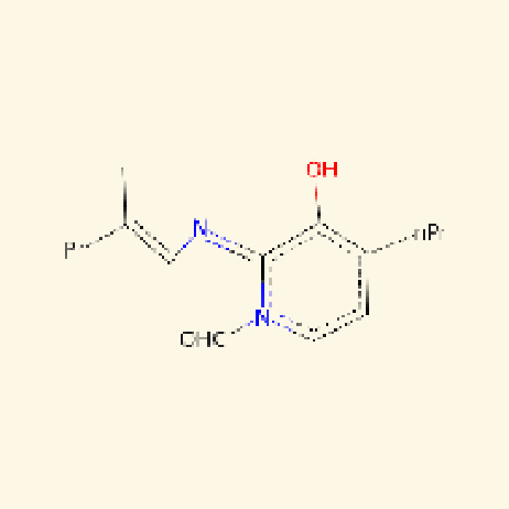 CCCc1ccn(C=O)/c(=N\C=C(/C)C(C)C)c1O